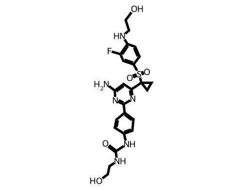 Nc1cc(C2(S(=O)(=O)c3ccc(NCCO)c(F)c3)CC2)nc(-c2ccc(NC(=O)NCCO)cc2)n1